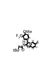 COc1ccc(-c2c(NC(=O)CC(C)(C)C)nc3ccc(F)cn23)cc1C(F)(F)F